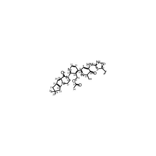 CCc1nnc(NC2=CC(c3ccnc(N4CCn5c(cc6c5CC(C)(C)C6)C4=O)c3COC(C)=O)=NC(C)C2=O)s1